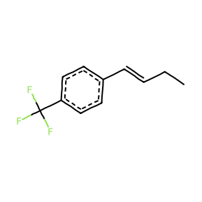 CCC=Cc1ccc(C(F)(F)F)cc1